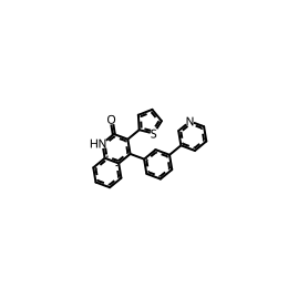 O=c1[nH]c2ccccc2c(-c2cccc(-c3cccnc3)c2)c1-c1cccs1